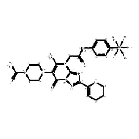 CC(=O)N1CCN(c2c(C)n(CC(=O)Nc3ccc(S(F)(F)(F)(F)F)cc3)c3nc(C4=CCCCO4)nn3c2=O)CC1